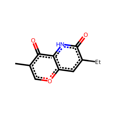 CCc1cc2occ(C)c(=O)c2[nH]c1=O